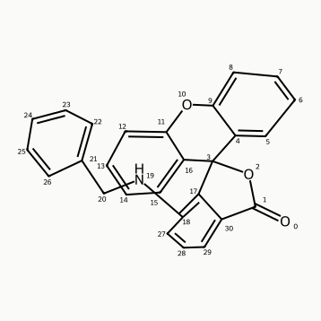 O=C1OC2(c3ccccc3Oc3ccccc32)c2c(NCc3ccccc3)cccc21